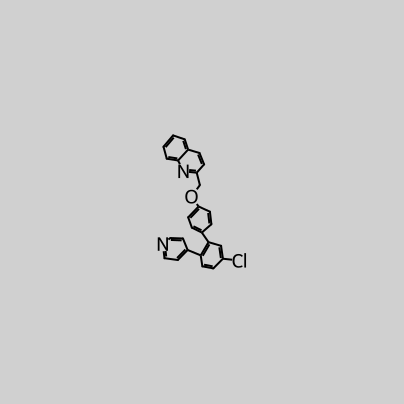 Clc1ccc(-c2ccncc2)c(-c2ccc(OCc3ccc4ccccc4n3)cc2)c1